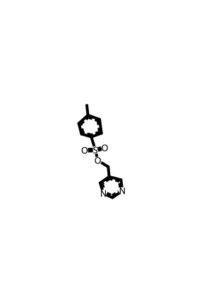 Cc1ccc(S(=O)(=O)OCc2cncnc2)cc1